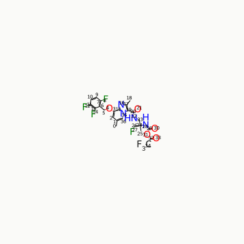 Cc1cc(OCc2c(F)ccc(F)c2F)c2nc(C)c(C(=O)NCC(C)(CF)NC(=O)OC(=O)C(F)(F)F)n2c1